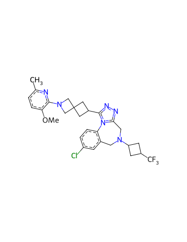 COc1ccc(C)nc1N1CC2(CC(c3nnc4n3-c3ccc(Cl)cc3CN(C3CC(C(F)(F)F)C3)C4)C2)C1